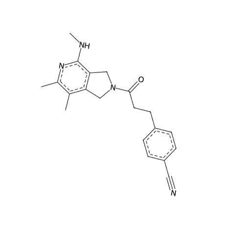 CNc1nc(C)c(C)c2c1CN(C(=O)CCc1ccc(C#N)cc1)C2